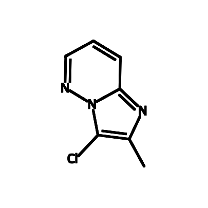 Cc1nc2cccnn2c1Cl